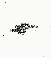 COc1ccc(S(=O)(=O)NC(C(=O)NO)C2(S(C)(=O)=O)CCOCC2)cc1